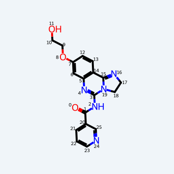 O=C(NC1=Nc2cc(OCCO)ccc2C2=NCCN12)c1cccnc1